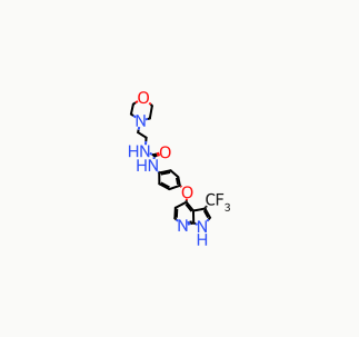 O=C(NCCN1CCOCC1)Nc1ccc(Oc2ccnc3[nH]cc(C(F)(F)F)c23)cc1